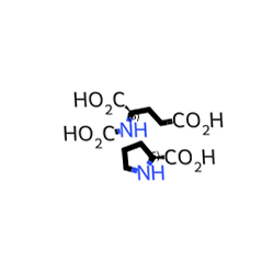 O=C(O)CC[C@H](NC(=O)O)C(=O)O.O=C(O)[C@@H]1CCCN1